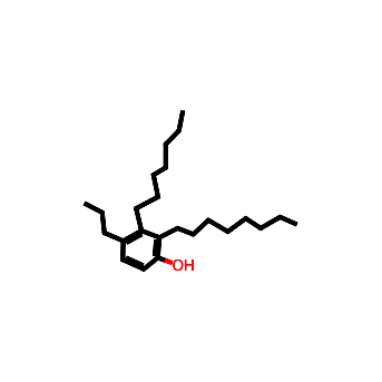 CCCCCCCCc1c(O)ccc(CCC)c1CCCCCCC